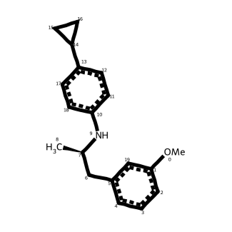 COc1cccc(C[C@@H](C)Nc2ccc(C3CC3)cc2)c1